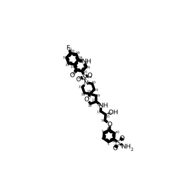 NS(=O)(=O)c1cccc(OC[C@@H](O)CNC2COC3(CCN(S(=O)(=O)c4c[nH]c5cc(F)ccc5c4=O)CC3)C2)c1